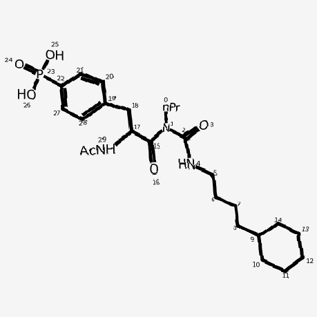 CCCN(C(=O)NCCCCC1CCCCC1)C(=O)C(Cc1ccc(P(=O)(O)O)cc1)NC(C)=O